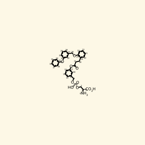 N[C@@H](COP(=O)(O)OCc1cccc(OC(=O)CCc2ccccc2OCc2cccc(Oc3ccccc3)c2)c1)C(=O)O